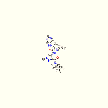 Cn1cc(NC(=O)c2nc(C3CC3)ccc2Nc2cncnc2)c(C(=O)N2CCC(C)(C)C2)n1